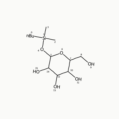 CCCC[Si](C)(C)OC1OC(CO)C(O)C(O)C1O